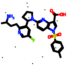 Cc1ccc(S(=O)(=O)n2cc(C(=O)O)c3nc(N4CCCC4c4cc(F)cnc4CCC(C)N)ccc32)cc1